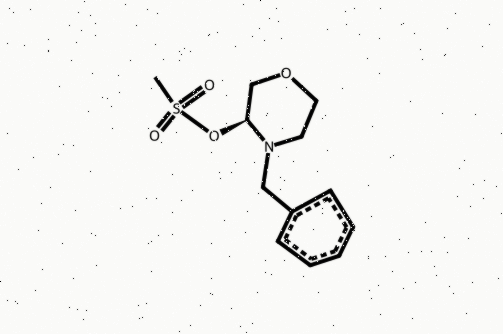 CS(=O)(=O)O[C@H]1COCCN1Cc1ccccc1